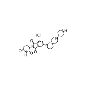 Cl.O=C1CCC(N2C(=O)c3ccc(N4CCCC5(CCN(C6CCNCC6)CC5)C4)cc3C2=O)C(=O)N1